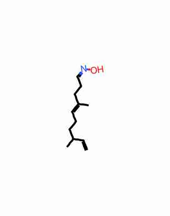 C=CC(C)CC/C=C(\C)CC/C=N\O